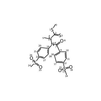 CSC(=S)N(C)N(C(=O)c1ccc(S(C)(=O)=O)cc1)c1ccc(S(C)(=O)=O)cc1